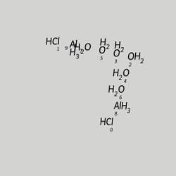 Cl.Cl.O.O.O.O.O.O.[AlH3].[AlH3]